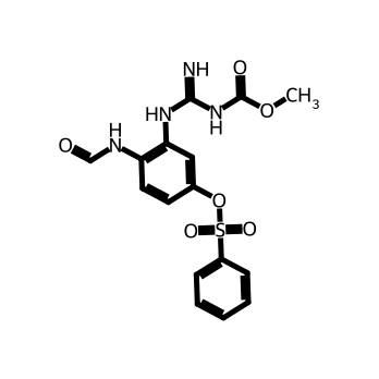 COC(=O)NC(=N)Nc1cc(OS(=O)(=O)c2ccccc2)ccc1NC=O